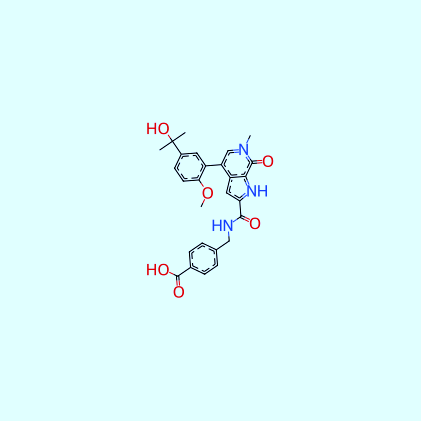 COc1ccc(C(C)(C)O)cc1-c1cn(C)c(=O)c2[nH]c(C(=O)NCc3ccc(C(=O)O)cc3)cc12